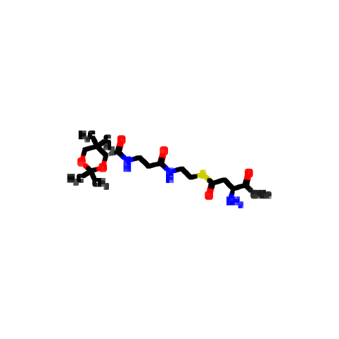 COC(=O)[C@@H](N)CC(=O)SCCNC(=O)CCNC(=O)[C@@H]1OC(C)(C)OCC1(C)C